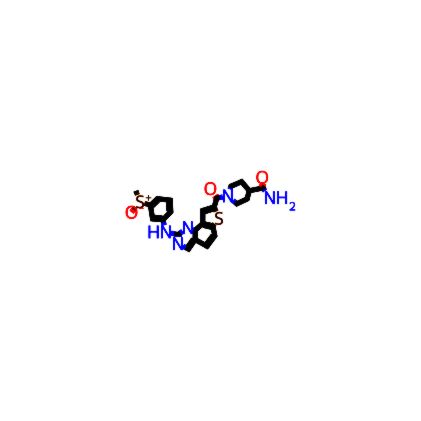 C[S+]([O-])c1cccc(Nc2ncc3ccc4sc(C(=O)N5CCC(C(N)=O)CC5)cc4c3n2)c1